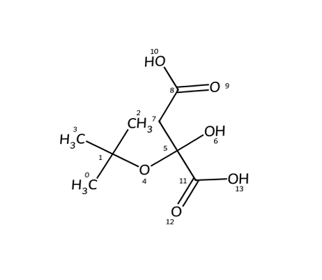 CC(C)(C)OC(O)(CC(=O)O)C(=O)O